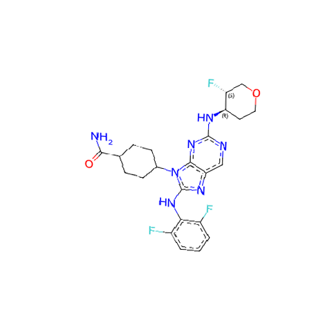 NC(=O)C1CCC(n2c(Nc3c(F)cccc3F)nc3cnc(N[C@@H]4CCOC[C@H]4F)nc32)CC1